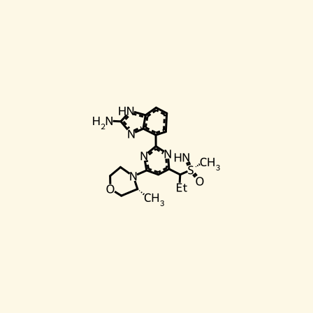 CCC(c1cc(N2CCOC[C@H]2C)nc(-c2cccc3[nH]c(N)nc23)n1)[S@@](C)(=N)=O